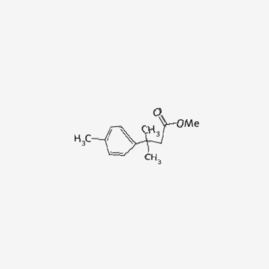 COC(=O)CC(C)(C)c1ccc(C)cc1